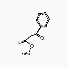 CCCCOC(=O)CC(=O)c1ccccc1